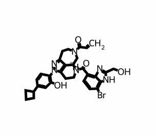 C=CC(=O)N1CCc2nn(-c3ccc(C4CCC4)cc3O)c3c2[C@H](C1)N(C(=O)c1ccc(Br)c2[nH]c(CO)nc12)CC3